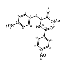 COC(=O)C(Cc1ccc(N)cc1)NC(=O)c1ccc(N=O)cc1